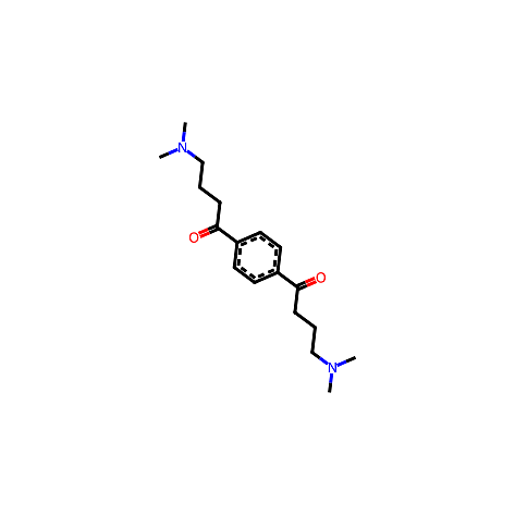 CN(C)CCCC(=O)c1ccc(C(=O)CCCN(C)C)cc1